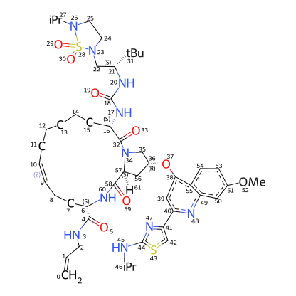 C=CCNC(=O)[C@@H]1CC/C=C\CCCCC[C@H](NC(=O)N[C@H](CN2CCN(C(C)C)S2(=O)=O)C(C)(C)C)C(=O)N2C[C@H](Oc3cc(-c4csc(NC(C)C)n4)nc4cc(OC)ccc34)C[C@H]2C(=O)N1